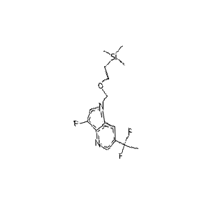 CC(F)(F)c1cnc2c(F)cn(COCC[Si](C)(C)C)c2c1